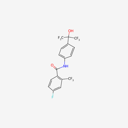 O=C(Nc1ccc(C(O)(C(F)(F)F)C(F)(F)F)cc1)c1ccc(F)cc1C(F)(F)F